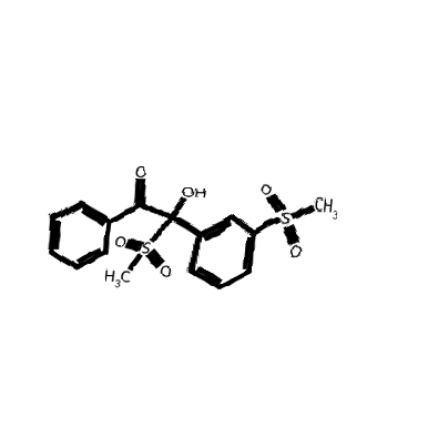 CS(=O)(=O)c1cccc(C(O)(C(=O)c2ccccc2)S(C)(=O)=O)c1